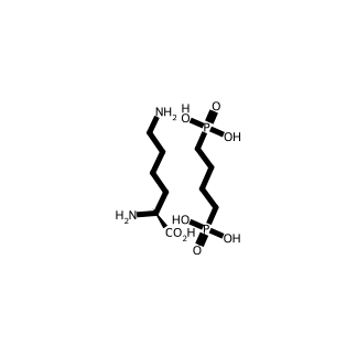 NCCCC[C@H](N)C(=O)O.O=P(O)(O)CCCCP(=O)(O)O